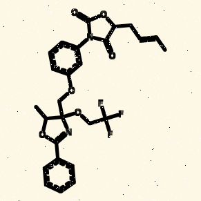 CC=CCC1OC(=O)N(c2cccc(OCC3(OCC(F)(F)F)N=C(c4ccccc4)OC3C)c2)C1=O